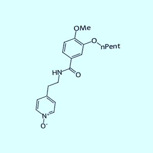 CCCCCOc1cc(C(=O)NCCc2cc[n+]([O-])cc2)ccc1OC